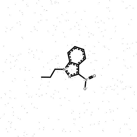 CCCn1nc([N+](=O)[O-])c2ccccc21